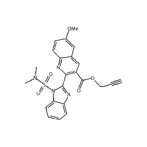 C#CCOC(=O)c1cc2cc(OC)ccc2nc1-c1nc2ccccc2n1S(=O)(=O)N(C)C